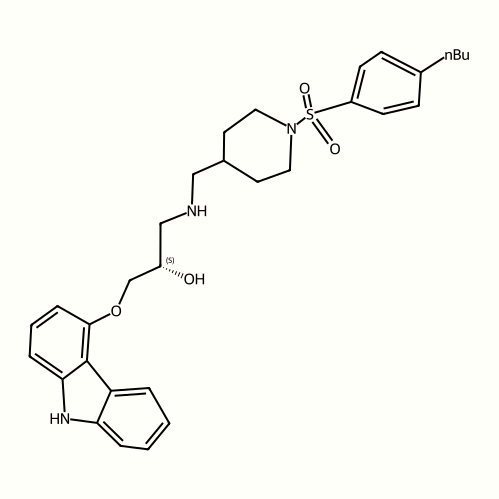 CCCCc1ccc(S(=O)(=O)N2CCC(CNC[C@H](O)COc3cccc4[nH]c5ccccc5c34)CC2)cc1